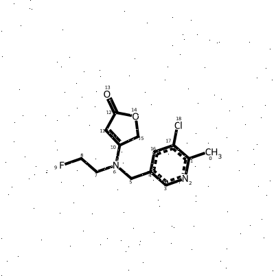 Cc1ncc(CN(CCF)C2=CC(=O)OC2)cc1Cl